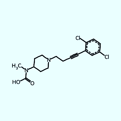 CN(C(=O)O)C1CCN(CCC#Cc2cc(Cl)ccc2Cl)CC1